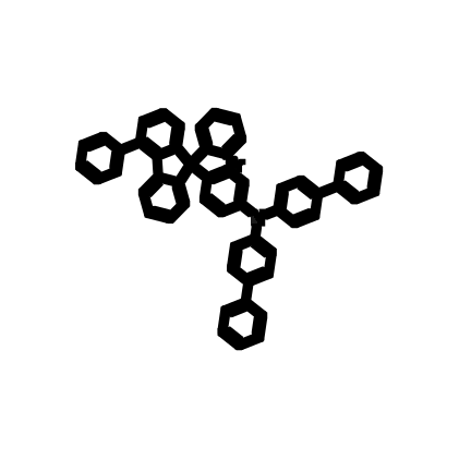 Brc1ccccc1C1(c2ccc(N(c3ccc(-c4ccccc4)cc3)c3ccc(-c4ccccc4)cc3)cc2)c2ccccc2-c2c(-c3ccccc3)cccc21